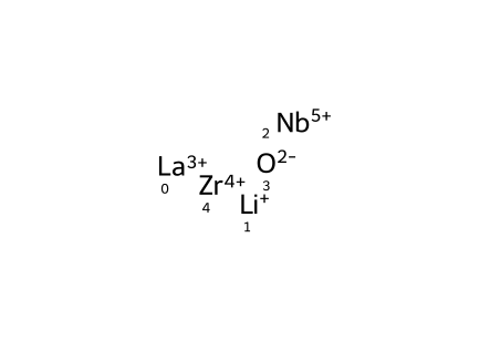 [La+3].[Li+].[Nb+5].[O-2].[Zr+4]